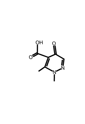 Cc1c(C(=O)O)c(=O)cnn1C